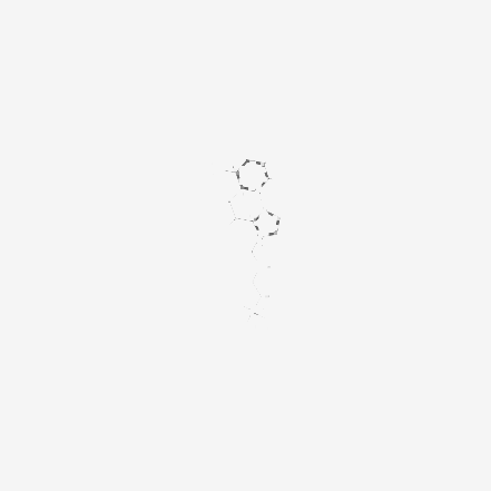 C[C](Cc1ncccc1C)c1nccn1COCC[Si](C)(C)C